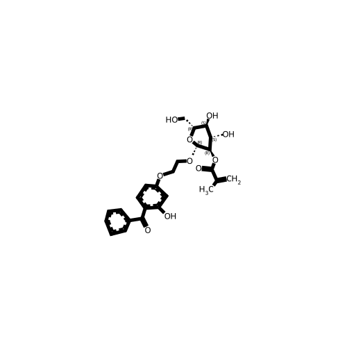 C=C(C)C(=O)O[C@H]1[C@H](OCCOc2ccc(C(=O)c3ccccc3)c(O)c2)O[C@H](CO)[C@@H](O)[C@@H]1O